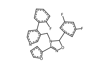 Fc1cc(F)cc(C2ON=C(c3ccco3)N2Cc2cnccc2-c2ccccc2F)c1